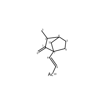 C=C1C(C)C2CCC1(C=CC(C)=O)C2